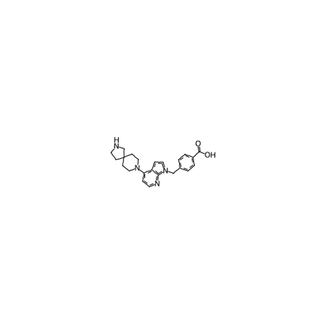 O=C(O)c1ccc(Cn2ccc3c(N4CCC5(CCNC5)CC4)ccnc32)cc1